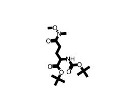 CON(C)C(=O)CCC(NC(=O)OC(C)(C)C)C(=O)OC(C)(C)C